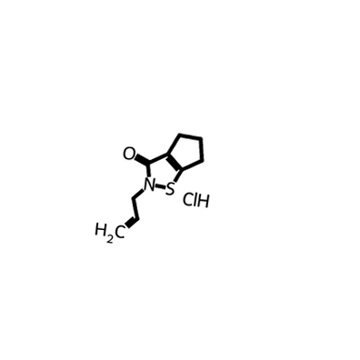 C=CCn1sc2c(c1=O)CCC2.Cl